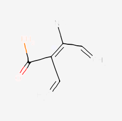 C=C/C(N=O)=C(\C=C)C(=O)P